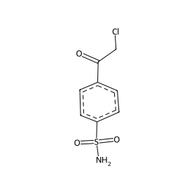 NS(=O)(=O)c1ccc(C(=O)CCl)cc1